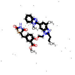 CCCc1nc2c(C)cc(-c3nc4ccccc4n3C)cc2n1CCOc1ccc(CC2SC(=O)NC2=O)cc1C(=O)OC